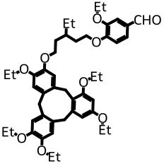 CCOc1cc2c(c(OCC)c1)Cc1cc(OCCC(CC)CCOc3ccc(C=O)cc3OCC)c(OCC)cc1Cc1cc(OCC)c(OCC)cc1C2